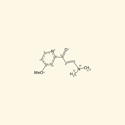 COc1ccnc(C(=O)C=CN(C)C)c1